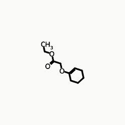 CCOC(=O)COC1=CCCCC1